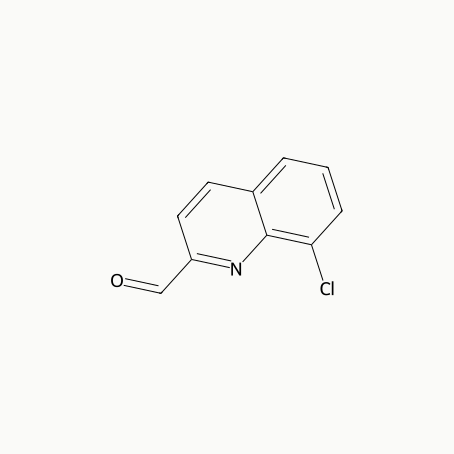 O=Cc1ccc2cccc(Cl)c2n1